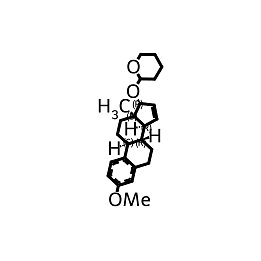 COc1ccc2c(c1)CC[C@@H]1[C@@H]2CC[C@]2(C)[C@H](OC3CCCCO3)C=C[C@@H]12